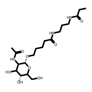 CCC(=O)NCCCNC(=O)CCCCO[C@@H]1OC(CO)[C@H](O)C(O)C1NC(C)=O